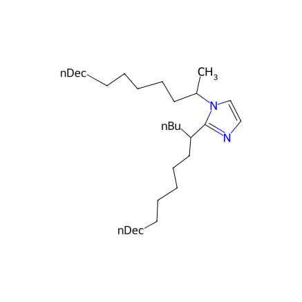 CCCCCCCCCCCCCCCC(CCCC)c1nccn1C(C)CCCCCCCCCCCCCCC